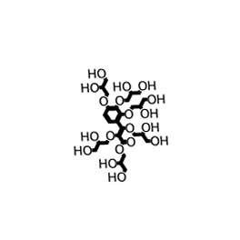 O=C(OCC(O)CO)C(OCC(O)CO)=C(OCC(O)CO)c1ccc(OCC(O)CO)c(OCC(O)CO)c1OCC(O)CO